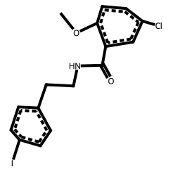 COc1ccc(Cl)cc1C(=O)NCCc1ccc(I)cc1